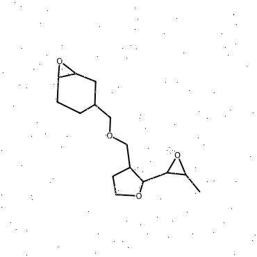 CC1OC1C1OCCC1COCC1CCC2OC2C1